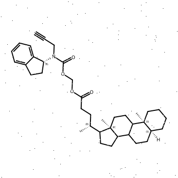 C#CCN(C(=O)OCOC(=O)CC[C@@H](C)C1CCC2C3CC[C@@H]4CCCC[C@]4(C)C3CC[C@@]21C)[C@@H]1CCc2ccccc21